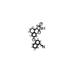 N#Cc1ccc(Oc2ccc3c(c2)CCC[C@H]3C2SC(=O)NC2=O)c2ccccc12